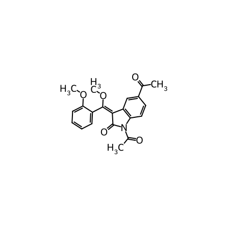 COC(=C1C(=O)N(C(C)=O)c2ccc(C(C)=O)cc21)c1ccccc1OC